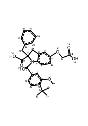 COc1cc(C(=O)N2c3ccc(OCC(=O)O)cc3CC2(Cc2ccccc2)C(=O)O)ccc1C(C)(C)C